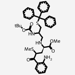 COC(=O)[C@@H](CC(SC)C(=O)c1ccccc1N)NCC(CSC(c1ccccc1)(c1ccccc1)c1ccccc1)NC(=O)OC(C)(C)C